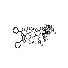 CC(=O)OCC1O[C@@H](O[Si](C)(C)C(C)(C)C(C)C)C(N=[N+]=[N-])[C@@H](C)[C@@H]1O[C@@H]1OC2COC(c3ccccc3)O[C@H]2[C@@H](OCc2ccccc2)[C@H]1OC(C)=O